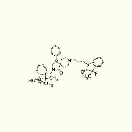 CC1(F)C(=O)N(CCCN2CCC3(CC2)C(=O)N(CC2(C(C)(C)C)C=CC=CC2C(=O)O)CN3c2ccccc2)c2ccccc21